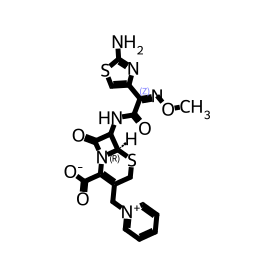 CO/N=C(\C(=O)NC1C(=O)N2C(C(=O)[O-])=C(C[n+]3ccccc3)CS[C@H]12)c1csc(N)n1